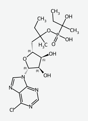 CCC(C)(C[C@H]1O[C@@H](n2cnc3c(Cl)ncnc32)[C@H](O)[C@@H]1O)OP(=O)(O)C(C)(O)CC